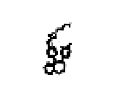 Cc1ccc(C2=C(c3ccc(C=C4CN(CCCF)C4)cc3)c3ccccc3CCC2)cc1C(F)(F)F